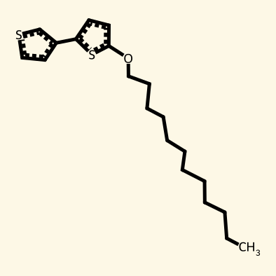 CCCCCCCCCCCCOc1ccc(-c2ccsc2)s1